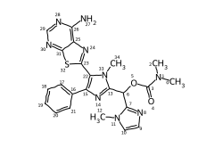 CN(C)C(=O)OC(c1nccn1C)c1nc(-c2ccccc2)c(-c2nc3c(N)ncnc3s2)n1C